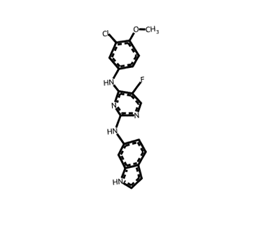 COc1ccc(Nc2nc(Nc3ccc4cc[nH]c4c3)ncc2F)cc1Cl